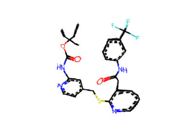 CC(C)(C)OC(=O)Nc1cc(CSc2ncccc2C(=O)Nc2cccc(C(F)(F)F)c2)ccn1